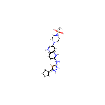 CS(=O)(=O)N1CCN(c2cnc3ccc(Nc4nnc(C5CCCC5)s4)nc3c2)CC1